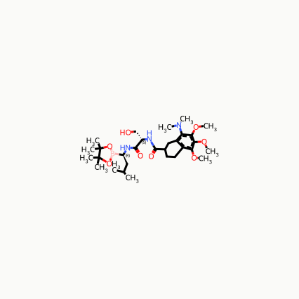 COc1c2c(c(N(C)C)c(OC)c1OC)CC(C(=O)N[C@@H](CO)C(=O)N[C@@H](CC(C)C)B1OC(C)(C)C(C)(C)O1)CC2